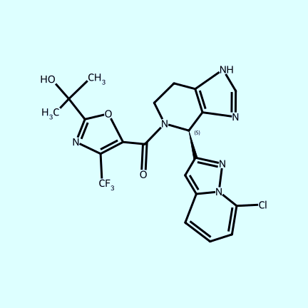 CC(C)(O)c1nc(C(F)(F)F)c(C(=O)N2CCc3[nH]cnc3[C@H]2c2cc3cccc(Cl)n3n2)o1